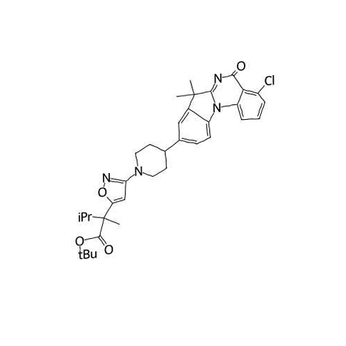 CC(C)C(C)(C(=O)OC(C)(C)C)c1cc(N2CCC(c3ccc4c(c3)C(C)(C)c3nc(=O)c5c(Cl)cccc5n3-4)CC2)no1